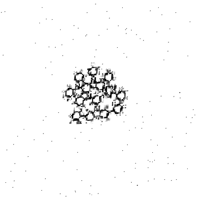 c1ccc(-c2ccc3c4ccc(-c5ccccc5)cc4n(-c4cc(-c5nc(-c6ccccc6)nc(-c6ccccc6)n5)cc(-n5c6ccccc6c6c7c(c8ccccc8n7-c7ccccc7)c7c(c8ccccc8n7-c7ccccc7)c65)c4)c3c2)cc1